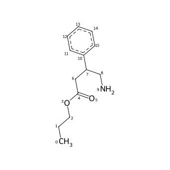 CCCOC(=O)CC(CN)c1ccccc1